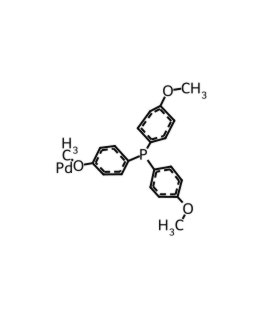 COc1ccc(P(c2ccc(OC)cc2)c2ccc(OC)cc2)cc1.[Pd]